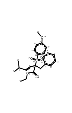 CCOC(=O)C(C=CC(C)C)(Cc1cccnc1)S(=O)(=O)c1ccc(OC)cc1